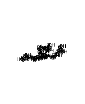 CN(C(=O)c1cc(NC(=O)c2cc(N(C)c3nc(N(C)c4c[nH]c(C(=O)Nc5cc(C(=O)N(C)c6c[nH]c(C(=O)Nc7ccc8cc(S(=O)(=O)O)cc(S(=O)(=O)O)c8c7)c6)n(C)c5)c4)nc(N(C)c4c[nH]c(C(=O)Nc5cc(C(=O)N(C)c6c[nH]c(C(=O)Nc7ccc8cc(S(=O)(=O)O)cc(S(=O)(=O)O)c8c7)c6)n(C)c5)c4)n3)c[nH]2)cn1C)c1c[nH]c(C(=O)Nc2ccc3cc(S(=O)(=O)O)cc(S(=O)(=O)O)c3c2)c1